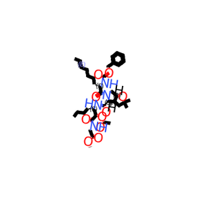 C/C=C/CCCC[C@H](NC(=O)OCc1ccccc1)C(=O)N1C[C@@H]2OC(C)(C)C[C@@H]2[C@H]1C(=O)N[C@@H](CCCC)C(OC(C)=O)C(=O)NCC(=O)OC